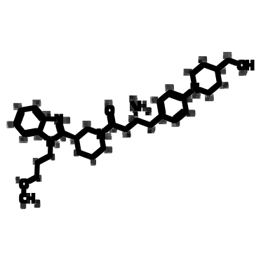 COCCCn1c([C@@H]2CCCN(C(=O)C[C@H](N)Cc3ccc(N4CCC(CO)CC4)cc3)C2)nc2ccccc21